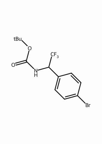 CC(C)(C)OC(=O)NC(c1ccc(Br)cc1)C(F)(F)F